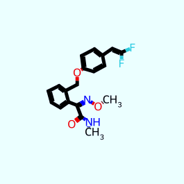 CNC(=O)C(=NOC)c1ccccc1COc1ccc(C=C(F)F)cc1